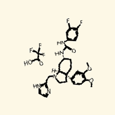 COc1ccc([C@@]23CC[C@@H](NC(=O)Nc4ccc(F)c(F)c4)C[C@@H]2N(Cc2ncc[nH]2)CC3)cc1OC.O=C(O)C(F)(F)F